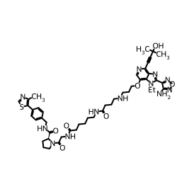 CCn1c(-c2nonc2N)nc2c(C#CC(C)(C)O)ncc(OCCCNCCCC(=O)NCCCCCC(=O)NCC(=O)N3CCC[C@H]3C(=O)NCc3ccc(-c4scnc4C)cc3)c21